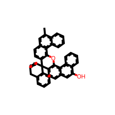 Cc1cc2ccc3c(c2c2ccccc12)Oc1c(ccc2cc(O)c4ccccc4c12)C31c2ccccc2Cc2ccccc21